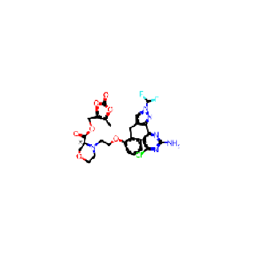 Cc1oc(=O)oc1COC(=O)[C@@H]1COCCN1CCOc1ccccc1Cc1cn(C(F)F)nc1-c1cc(Cl)nc(N)n1